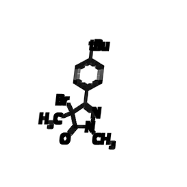 CN1N=C(c2ccc(C(C)(C)C)cc2)C(C)(Br)C1=O